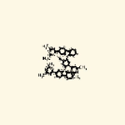 Cc1cc(-c2cc(-n3c4ccccc4c4ccc(-c5nc(C)nc(C)n5)cc43)c(C#N)cc2-n2c3ccccc3c3ccc(-c4nc(C)nc(C)n4)cc32)nc(C)n1